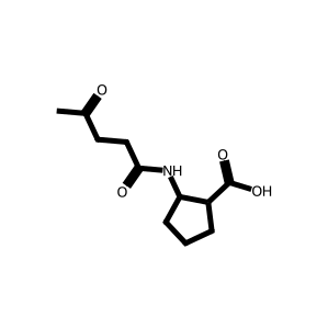 CC(=O)CCC(=O)NC1CCCC1C(=O)O